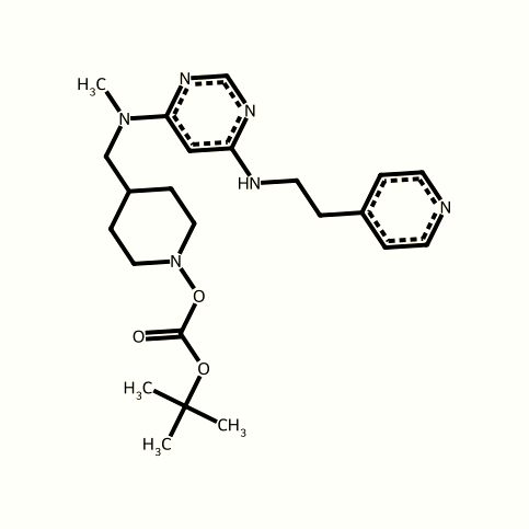 CN(CC1CCN(OC(=O)OC(C)(C)C)CC1)c1cc(NCCc2ccncc2)ncn1